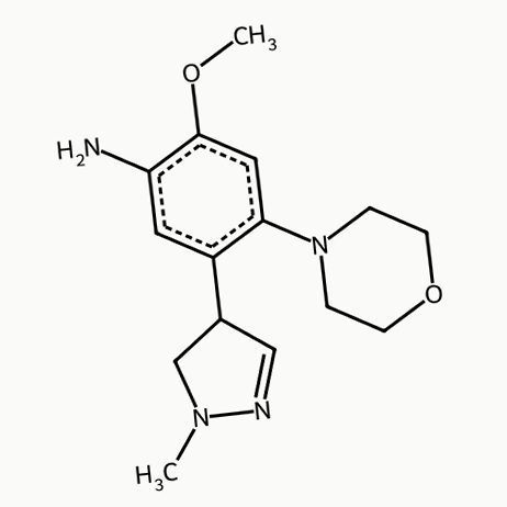 COc1cc(N2CCOCC2)c(C2C=NN(C)C2)cc1N